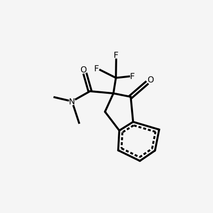 CN(C)C(=O)C1(C(F)(F)F)Cc2ccccc2C1=O